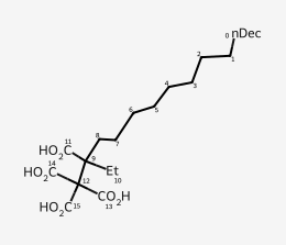 CCCCCCCCCCCCCCCCCCC(CC)(C(=O)O)C(C(=O)O)(C(=O)O)C(=O)O